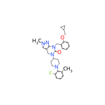 Cc1cccc(F)c1N1CCC(N2Cc3cn(C)nc3N(Cc3ccccc3OCC3CC3)C2=O)CC1